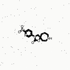 O=C1OC2(CCCNCC2)CN1c1ccc([N+](=O)[O-])nc1